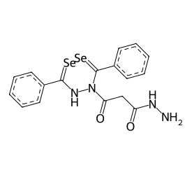 NNC(=O)CC(=O)N(NC(=[Se])c1ccccc1)C(=[Se])c1ccccc1